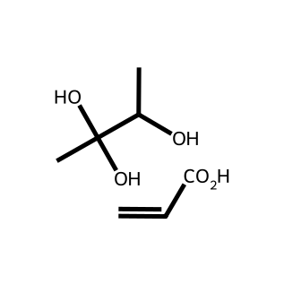 C=CC(=O)O.CC(O)C(C)(O)O